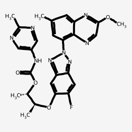 COc1cnc2c(-n3nc4cc(F)c(O[C@@H](C)[C@H](C)OC(=O)Nc5cnc(C)nc5)cc4n3)cc(C)cc2n1